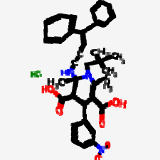 CC1=C(C(=O)O)C(c2cccc([N+](=O)[O-])c2)C(C(=O)O)C(C)(NCCCC(c2ccccc2)c2ccccc2)N1CC(C)(C)C.Cl